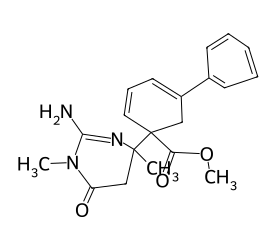 COC(=O)C1(C2(C)CC(=O)N(C)C(N)=N2)C=CC=C(c2ccccc2)C1